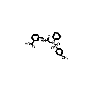 Cc1ccc(S(=O)(=O)N(CC(=O)NCc2cccc(C(=O)O)c2)c2ccccc2)cc1